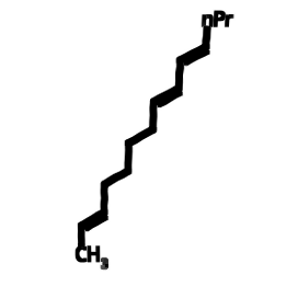 CC=CCCCCC=CC=CCCC